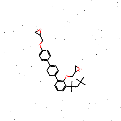 CC(C)(C)CC(C)(C)c1cccc(C2=CC=C(c3ccc(OCC4CO4)cc3)CC2)c1OCC1CO1